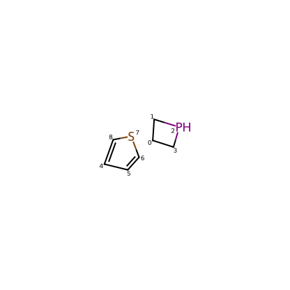 C1CPC1.c1ccsc1